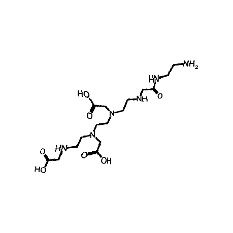 NCCNC(=O)CNCCN(CCN(CCNCC(=O)O)CC(=O)O)CC(=O)O